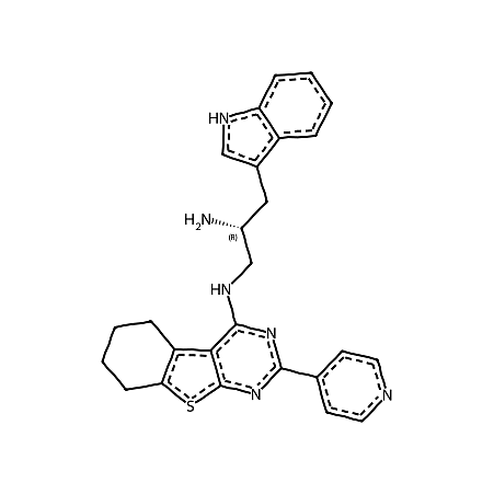 N[C@@H](CNc1nc(-c2ccncc2)nc2sc3c(c12)CCCC3)Cc1c[nH]c2ccccc12